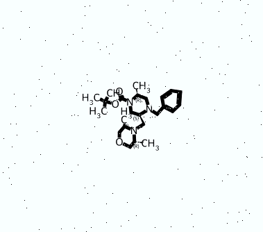 C[C@@H]1CN(Cc2ccccc2)[C@@H](CN2[C@H](C)COC[C@H]2C)CN1C(=O)OC(C)(C)C